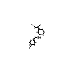 CC(CC#N)C1CCC[C@H](NCc2ccc(F)cc2)C1